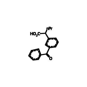 CCCC(C(=O)O)c1cccc(C(=O)c2ccccc2)c1